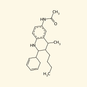 CCCCC1C(C)c2cc(NC(C)=O)ccc2NC1C1C=CC=CC1